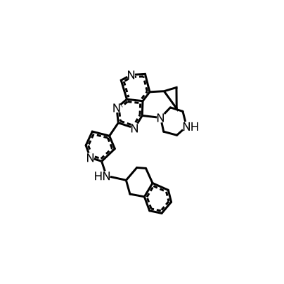 c1ccc2c(c1)CCC(Nc1cc(-c3nc(N4CCNCC4)c4c(C5CC5)cncc4n3)ccn1)C2